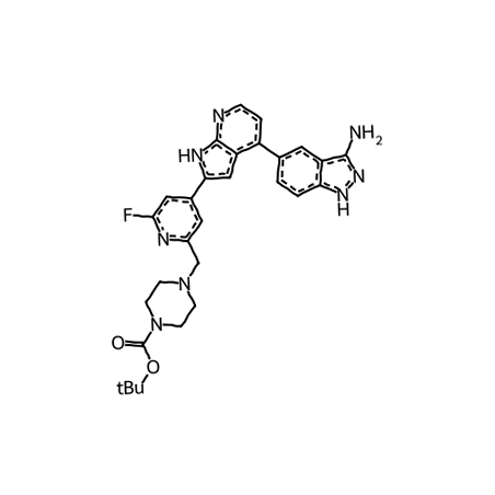 CC(C)(C)OC(=O)N1CCN(Cc2cc(-c3cc4c(-c5ccc6[nH]nc(N)c6c5)ccnc4[nH]3)cc(F)n2)CC1